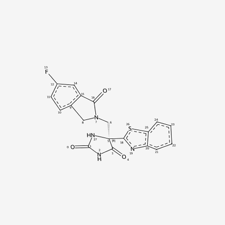 O=C1NC(=O)[C@](CN2Cc3ccc(F)cc3C2=O)(c2nc3ccccc3s2)N1